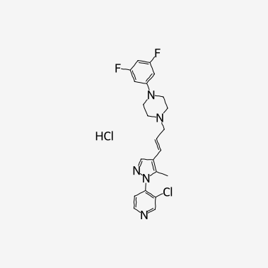 Cc1c(/C=C/CN2CCN(c3cc(F)cc(F)c3)CC2)cnn1-c1ccncc1Cl.Cl